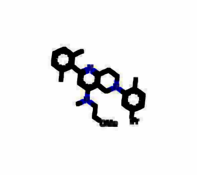 COCCN(C)c1cc(-c2c(C)cccc2C)nc2c1CN(c1cc(C(C)C)ccc1C)CC2